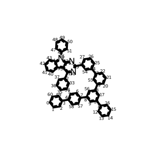 c1ccc(-c2ccc(-c3cc(-c4ccccc4)cc(-c4cccc(-c5cccc(-c6nc(-c7ccccc7)c7c8ccccc8n(-c8ccccc8)c7n6)c5)c4)c3)cc2)cc1